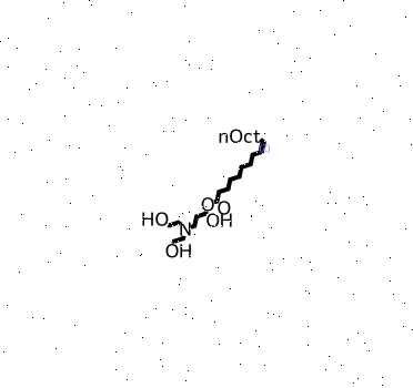 CCCCCCCC/C=C\CCCCCCCC(=O)OC(O)CCN(CCO)CCO